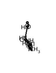 Cn1cc(-n2cnc3c(NCc4nc5cc(Cl)c(NCCCCCCCCCCCNC(=O)OCc6ccccc6)cc5[nH]4)nc(Cl)nc32)cn1